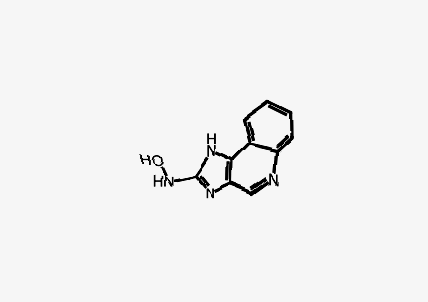 ONc1nc2cnc3ccccc3c2[nH]1